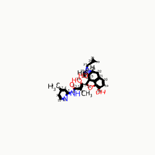 C/C(C(=O)Nc1cc(C)ccn1)=C(/O)[C@@H]1Oc2c(O)ccc3c2[C@@]12CCN(CC1CC1)[C@H](C3)[C@@]2(C)O